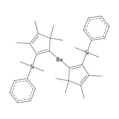 CC1=C(C)C(C)(C)[C]([Ba][C]2=C([Si](C)(C)c3ccccc3)C(C)=C(C)C2(C)C)=C1[Si](C)(C)c1ccccc1